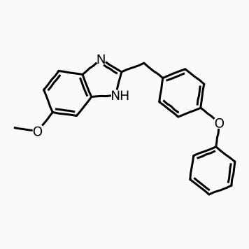 COc1ccc2nc(Cc3ccc(Oc4ccccc4)cc3)[nH]c2c1